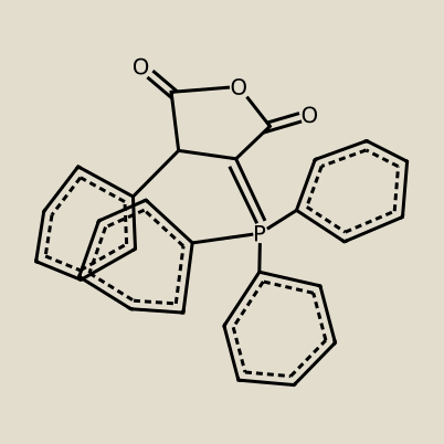 O=C1OC(=O)C(c2ccccc2)C1=P(c1ccccc1)(c1ccccc1)c1ccccc1